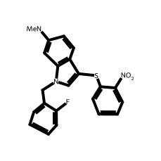 CNc1ccc2c(Sc3ccccc3[N+](=O)[O-])cn(Cc3ccccc3F)c2c1